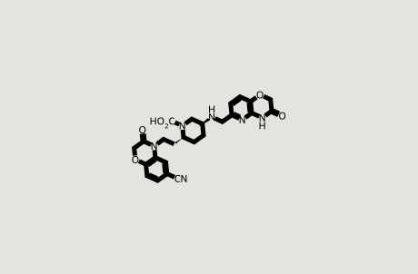 N#Cc1ccc2c(c1)N(CC[C@H]1CC[C@H](NCc3ccc4c(n3)NC(=O)CO4)CN1C(=O)O)C(=O)CO2